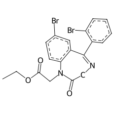 CCOC(=O)CN1C(=O)CN=C(c2ccccc2Br)c2cc(Br)ccc21